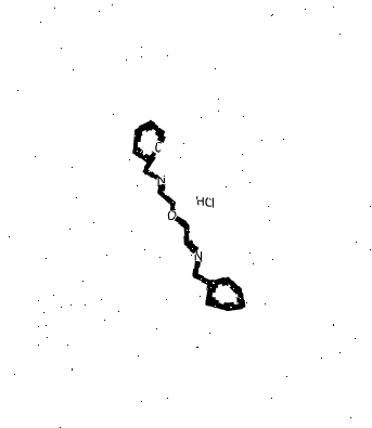 C(COCC=NCc1ccccc1)=NCc1ccccc1.Cl